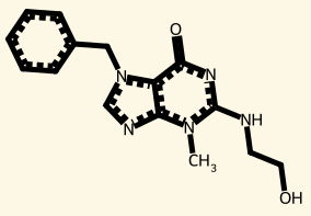 Cn1c(NCCO)nc(=O)c2c1ncn2Cc1ccccc1